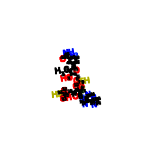 C[C@@H]1[C@H](O)[C@@H](COP(=O)(S)O[C@H]2[C@@H](F)[C@H](n3cnc4c3ncn3ccnc43)O[C@@H]2COP(=O)(O)S)O[C@H]1c1ccnc(C(N)=O)c1